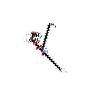 CCCCCCCCCCCCCCCCCC(=O)NCC(COC(=O)CCC(=O)OCCC(C)(C)OCCC(C)(C)OC)NC(=O)CCCCCCCCCCCCCCCCC